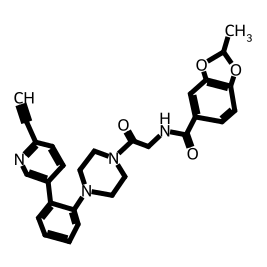 C#Cc1ccc(-c2ccccc2N2CCN(C(=O)CNC(=O)c3ccc4c(c3)OC(C)O4)CC2)cn1